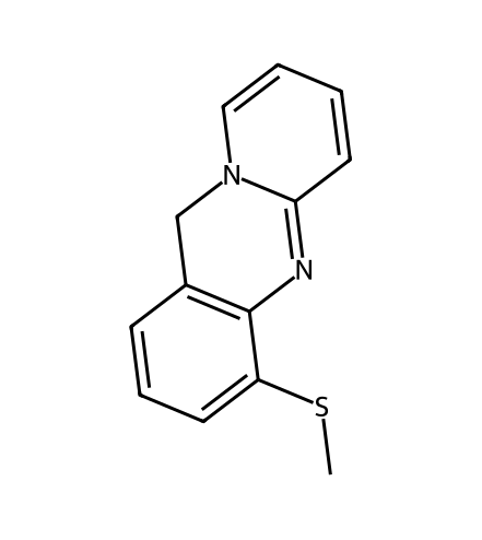 CSc1cccc2c1N=C1C=CC=CN1C2